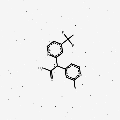 Cc1cc(C(C(N)=O)c2cc(C(F)(F)F)ccn2)ccn1